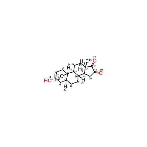 C[C@]12CC[C@@H](O)C[C@@H]1CC[C@@H]1[C@@H]2CC[C@]2(C)C(=O)C(=O)C[C@@H]12